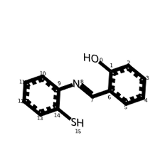 Oc1ccccc1/C=N/c1ccccc1S